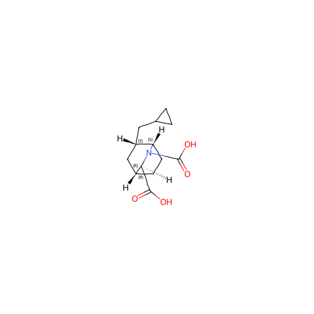 O=C(O)[C@H]1[C@@H]2CC[C@@H]([C@@H](CC3CC3)C2)N1C(=O)O